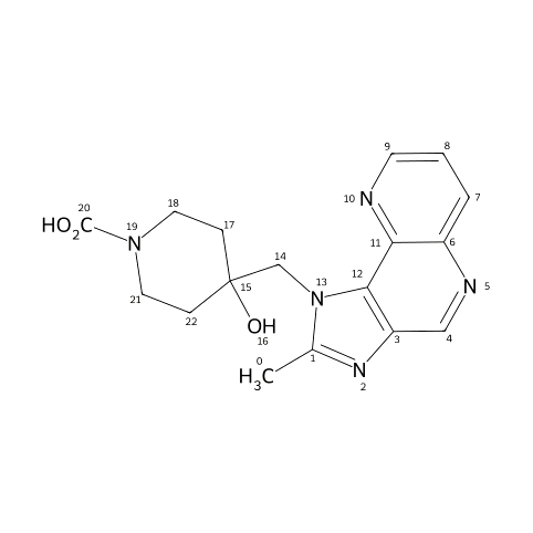 Cc1nc2cnc3cccnc3c2n1CC1(O)CCN(C(=O)O)CC1